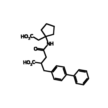 O=C(O)CC1(NC(=O)CC(Cc2ccc(-c3ccccc3)cc2)C(=O)O)CCCC1